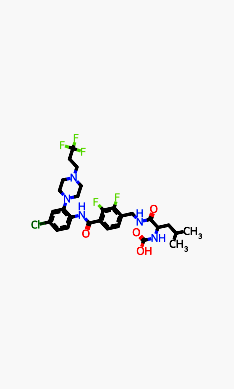 CC(C)CC(NC(=O)O)C(=O)NCc1ccc(C(=O)Nc2ccc(Cl)cc2N2CCN(CCC(F)(F)F)CC2)c(F)c1F